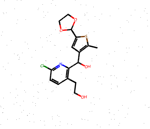 Cc1sc(C2OCCO2)cc1C(O)c1nc(Cl)ccc1CCO